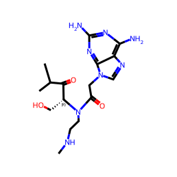 CNCCN(C(=O)Cn1cnc2c(N)nc(N)nc21)[C@H](CO)C(=O)C(C)C